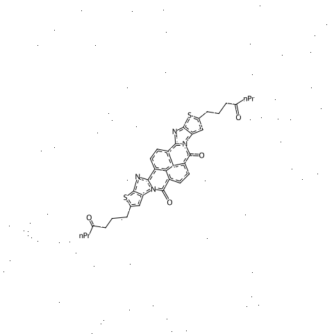 CCCC(=O)CCCc1cc2c(nc3c4ccc5c6c(ccc(c(=O)n23)c46)c(=O)n2c3cc(CCCC(=O)CCC)sc3nc52)s1